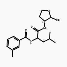 Cc1cccc(C(=O)NC(CC(C)C)C(=O)N[C@H]2CCOC2O)c1